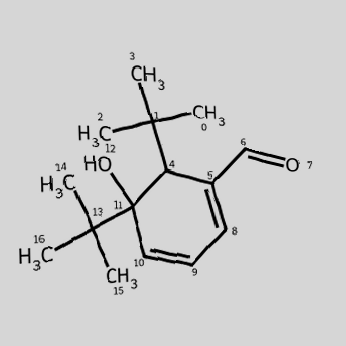 CC(C)(C)C1C(C=O)=CC=CC1(O)C(C)(C)C